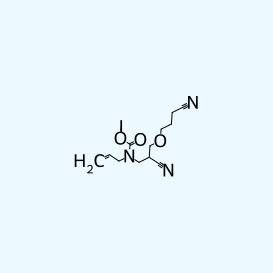 C=CCN(CC(C#N)COCCCC#N)C(=O)OI